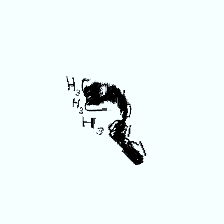 Cc1ccc(OCC(C)c2ccc(CN3CCN(C(=O)C=Cc4cc(C)c(Oc5ccc(OCc6ccccc6Cl)cn5)c(Cl)c4)CC3)cc2)cc1